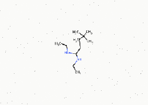 CCNC(C[SiH2]C(C)(C)C)NCC